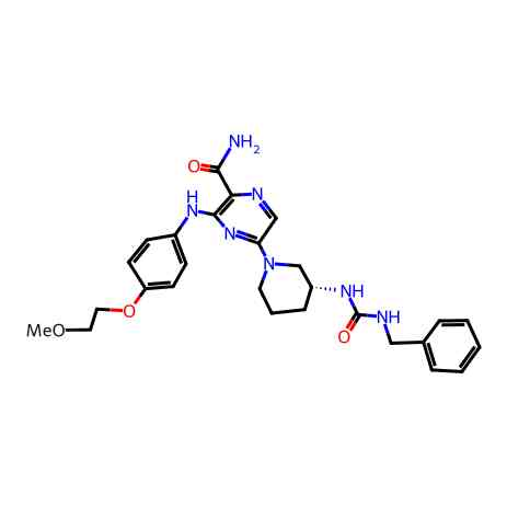 COCCOc1ccc(Nc2nc(N3CCC[C@@H](NC(=O)NCc4ccccc4)C3)cnc2C(N)=O)cc1